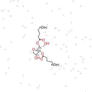 CCCCCCCCCCCCCC(=O)O[C@H]1[C@@H]([C@@H](CO)OC(=O)CCCCCCCCCCCCC)OC[C@@H]1O